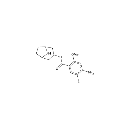 COc1cc(N)c(Cl)cc1C(=O)OC1CC2CCC(C1)N2